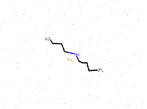 CCCCNCCCC.P